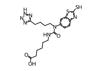 O=C(O)CCCCCNC(=O)N(CCCCc1nn[nH]n1)c1ccc2nc(S)sc2c1